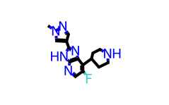 Cn1cc(-c2nc3c(C4CCNCC4)c(F)cnc3[nH]2)cn1